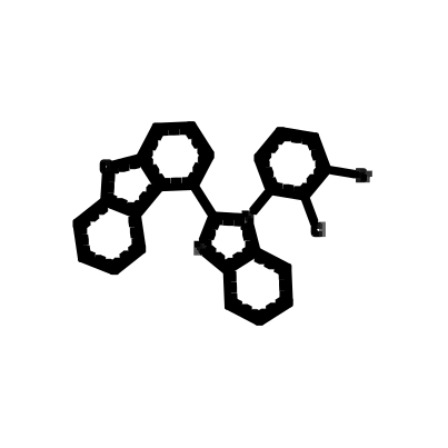 Clc1c(Br)cccc1-n1c(-c2cccc3oc4ccccc4c23)nc2ccccc21